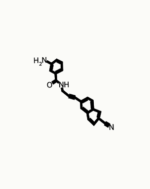 N#Cc1ccc2cc(C#CCNC(=O)c3cccc(N)c3)ccc2c1